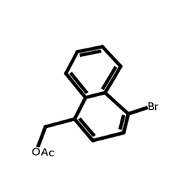 CC(=O)OCc1ccc(Br)c2ccccc12